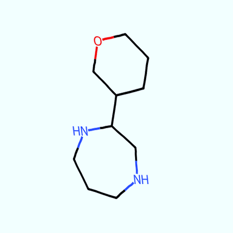 C1CNCC(C2CCCOC2)NC1